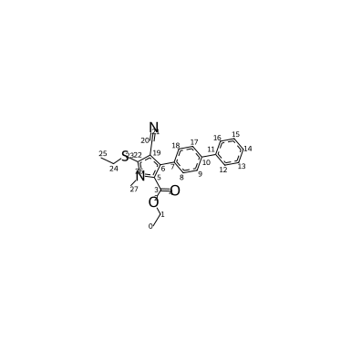 CCOC(=O)c1c(-c2ccc(-c3ccccc3)cc2)c(C#N)c(SCC)n1C